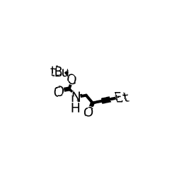 CCC#CC(=O)CNC(=O)OC(C)(C)C